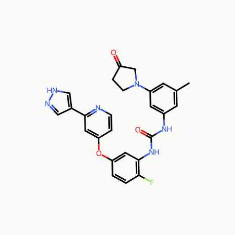 Cc1cc(NC(=O)Nc2cc(Oc3ccnc(-c4cn[nH]c4)c3)ccc2F)cc(N2CCC(=O)C2)c1